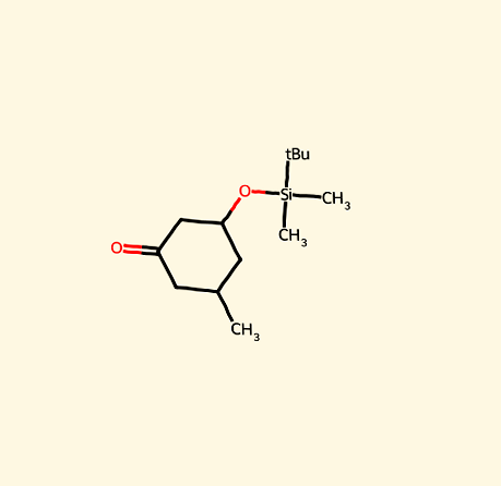 CC1CC(=O)CC(O[Si](C)(C)C(C)(C)C)C1